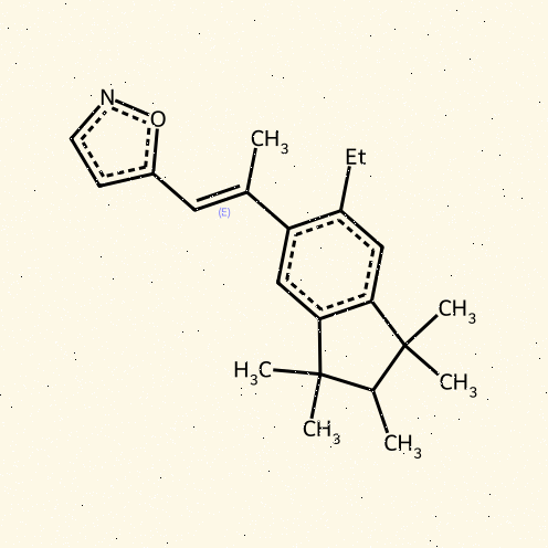 CCc1cc2c(cc1/C(C)=C/c1ccno1)C(C)(C)C(C)C2(C)C